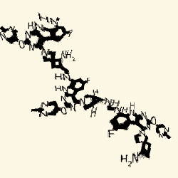 CNc1cc(F)cc2c1[nH]c1nc(Oc3cnc(C)nc3)nc(N3CC4(CC(CNc5cc(F)cc6c5[nH]c5nc(Oc7cnc(C)nc7)nc(N7C[C@@H]8[C@H](C7)[C@H]8NCNc7cc(F)cc8c7[nH]c7nc(Oc9cnc(C)nc9)nc(N9CC[C@]%10(CC[C@@H]%10N)C9)c78)c56)[C@@H]4N)C3)c12